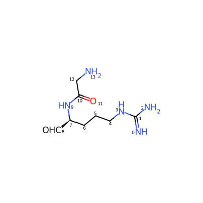 N=C(N)NCCC[C@@H](C=O)NC(=O)CN